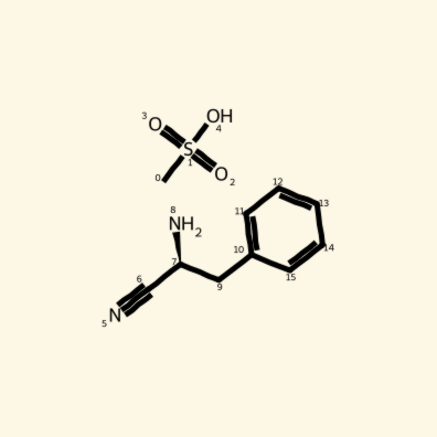 CS(=O)(=O)O.N#C[C@@H](N)Cc1ccccc1